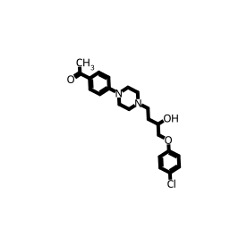 CC(=O)c1ccc(N2CCN(CCC(O)COc3ccc(Cl)cc3)CC2)cc1